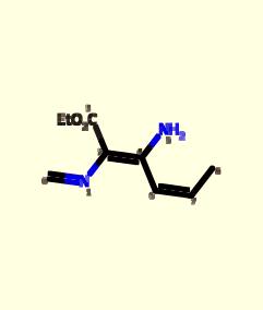 C=N/C(C(=O)OCC)=C(N)\C=C/C